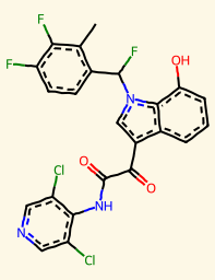 Cc1c(C(F)n2cc(C(=O)C(=O)Nc3c(Cl)cncc3Cl)c3cccc(O)c32)ccc(F)c1F